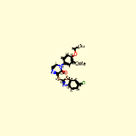 COc1cc(-n2ccnc(Sc3nc4ccc(Cl)cc4s3)c2=O)ccc1OCC(C)(C)C